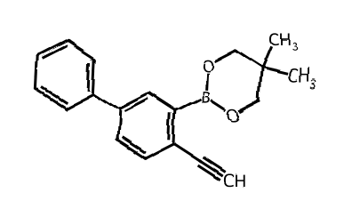 C#Cc1ccc(-c2ccccc2)cc1B1OCC(C)(C)CO1